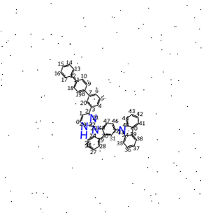 C1=CC(c2cccc(-c3ccc(-c4ccccc4)cc3)c2)=NC(n2c3ccccc3c3cc(-n4c5ccccc5c5ccccc54)ccc32)N1